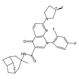 CC1(NC(=O)c2cn(-c3ccc(F)cc3F)c3nc(N4CC[C@@H](F)C4)ccc3c2=O)CC2CC3CC(C1)C3C2